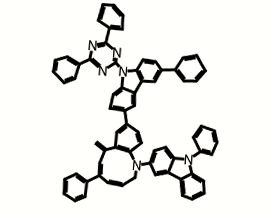 C=C1/C=C(c2ccccc2)\C=C/CN(c2ccc3c(c2)c2ccccc2n3-c2ccccc2)c2ccc(-c3ccc4c(c3)c3cc(-c5ccccc5)ccc3n4-c3nc(-c4ccccc4)nc(-c4ccccc4)n3)cc21